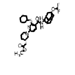 COC(=O)C[C@@H]1CCCN(c2ccc(C(=O)N[C@H]3C4CC5CC3C[C@@](OC(F)F)(C5)C4)c(SC3CCCCC3)n2)C1